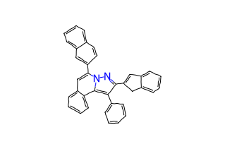 C1=C(c2nn3c(-c4ccc5ccccc5c4)cc4ccccc4c3c2-c2ccccc2)Cc2ccccc21